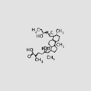 CC[C@@H](O)CC[C@]1(C)C2=C(CCC1C)[C@]1(C)CCC([C@H](C)C(O)C/C=C(\C)C(=O)O)[C@@]1(C)CC2